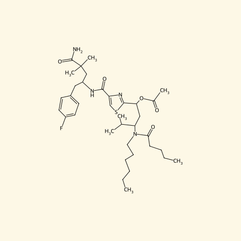 CCCCCCN(C(=O)CCCC)C(CC(OC(C)=O)c1nc(C(=O)NC(Cc2ccc(F)cc2)CC(C)(C)C(N)=O)cs1)C(C)C